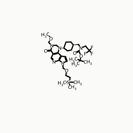 COCN1CN([C@H]2CC[C@H](CN(CC(F)(F)F)C(=O)OC(C)(C)C)CC2)c2c(cnc3c2ccn3COCC[Si](C)(C)C)C1=O